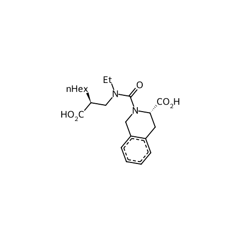 CCCCCC[C@@H](CN(CC)C(=O)N1Cc2ccccc2C[C@H]1C(=O)O)C(=O)O